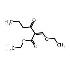 CCCC(=O)/C(=C/OCC)C(=O)OCC